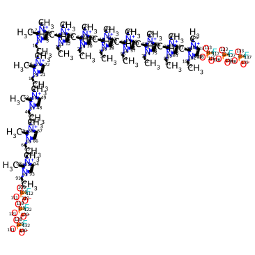 CCn1cc[n+](C)c1C.CCn1cc[n+](C)c1C.CCn1cc[n+](C)c1C.CCn1cc[n+](C)c1C.CCn1cc[n+](C)c1C.CCn1cc[n+](C)c1C.CCn1cc[n+](C)c1C.CCn1cc[n+](C)c1C.CCn1cc[n+](C)c1C.CCn1cc[n+](C)c1C.CCn1cc[n+](C)c1C.CCn1cc[n+](C)c1C.O=P([O-])([O-])F.O=P([O-])([O-])F.O=P([O-])([O-])F.O=P([O-])([O-])F.O=P([O-])([O-])F.O=P([O-])([O-])F